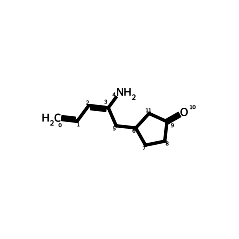 C=C/C=C(/N)CC1CCC(=O)C1